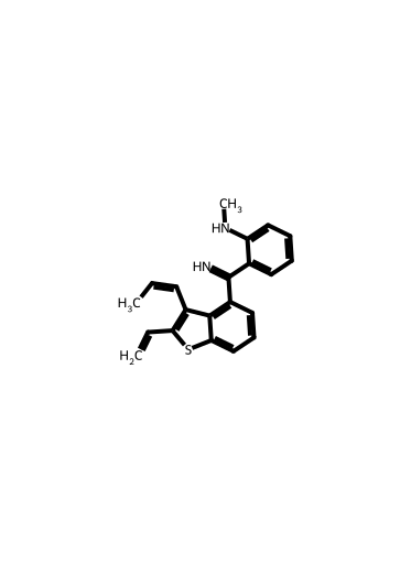 C=Cc1sc2cccc(C(=N)c3ccccc3NC)c2c1/C=C\C